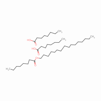 CCCCCCCC(=O)O.CCCCCCCC(=O)O.CCCCCCCCCCCCCCCCOC(=O)CCCCCCC